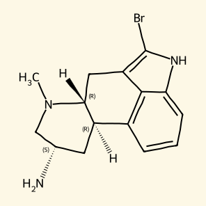 CN1C[C@@H](N)C[C@@H]2c3cccc4[nH]c(Br)c(c34)C[C@H]21